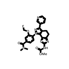 COC(=O)Nc1nc2c(s1)-c1c(c(-c3cccnc3)nn1-c1ccc(C(=O)N(C)C)cc1OCF)CC2